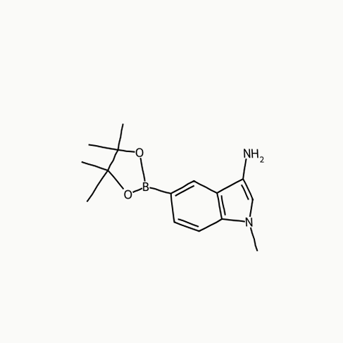 Cn1cc(N)c2cc(B3OC(C)(C)C(C)(C)O3)ccc21